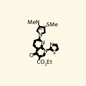 CCOC(=O)c1cn(-c2nccs2)c2nc(N3C[C@@H](NC)[C@H](SC)C3)ccc2c1=O